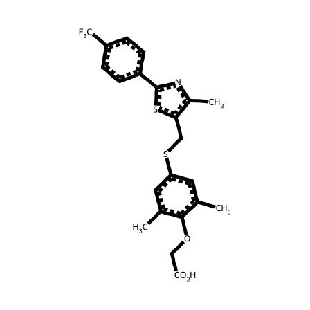 Cc1cc(SCc2sc(-c3ccc(C(F)(F)F)cc3)nc2C)cc(C)c1OCC(=O)O